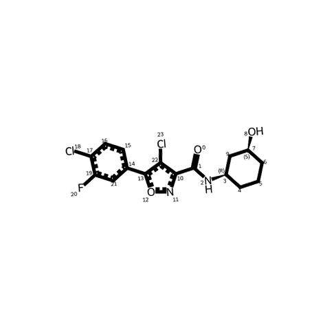 O=C(N[C@@H]1CCC[C@H](O)C1)c1noc(-c2ccc(Cl)c(F)c2)c1Cl